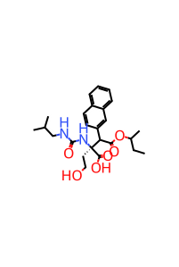 CCC(C)OC(=O)C(c1ccc2ccccc2c1)[C@](CCO)(NC(=O)NCC(C)C)C(=O)O